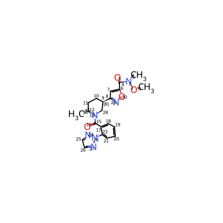 CON(C)C(=O)c1cc([C@@H]2CC[C@@H](C)N(C(=O)c3ccccc3-n3nccn3)C2)no1